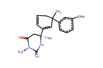 CC[C@@]1(C2=CC(C)(c3cccc(OC)c3)CC=C2)CC(=O)N(C)C(=N)N1